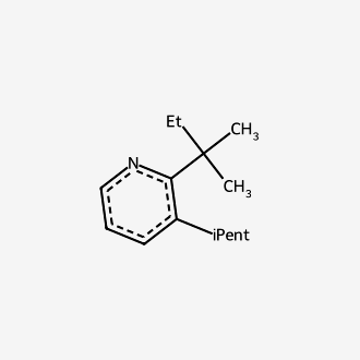 CCCC(C)c1cccnc1C(C)(C)CC